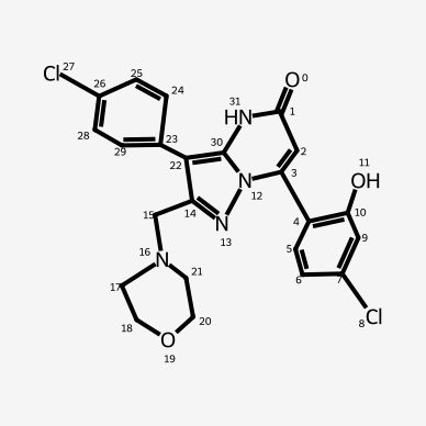 O=c1cc(-c2ccc(Cl)cc2O)n2nc(CN3CCOCC3)c(-c3ccc(Cl)cc3)c2[nH]1